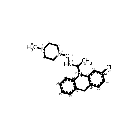 CC(NON1CCN(C)CC1)N1c2ccccc2Cc2ccc(Cl)cc21